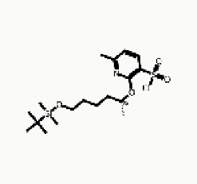 Cc1ccc(S(=O)(=O)Cl)c(O[C@H](C)CCCCO[Si](C)(C)C(C)(C)C)n1